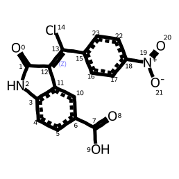 O=C1Nc2ccc(C(=O)O)cc2/C1=C(/Cl)c1ccc([N+](=O)[O-])cc1